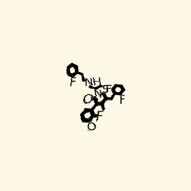 COc1cccc(-c2c(C)c(Cc3c(F)cccc3F)c3n(c2=O)C(CNCCc2ccccc2F)CS3)c1F